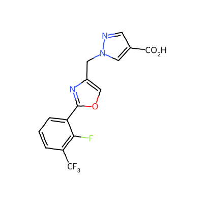 O=C(O)c1cnn(Cc2coc(-c3cccc(C(F)(F)F)c3F)n2)c1